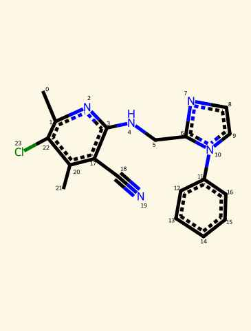 Cc1nc(NCc2nccn2-c2ccccc2)c(C#N)c(C)c1Cl